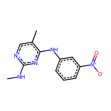 CNc1ncc(C)c(Nc2cccc([N+](=O)[O-])c2)n1